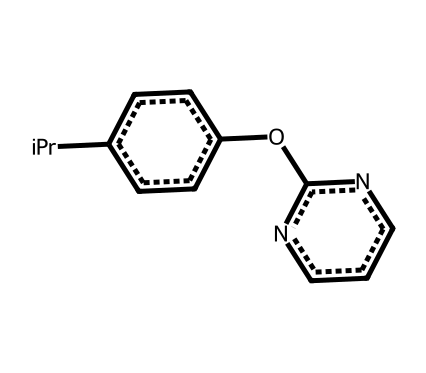 CC(C)c1ccc(Oc2ncccn2)cc1